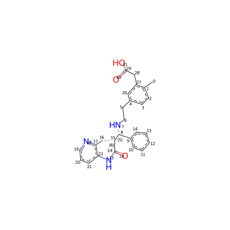 Cc1ccc(CCN[C@H](c2ccccc2)[C@H]2Cc3ncccc3NC2=O)cc1CC(=O)O